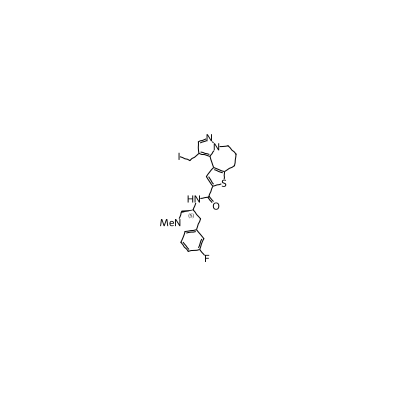 CNC[C@H](Cc1cccc(F)c1)NC(=O)c1cc2c(s1)CCCn1ncc(CI)c1-2